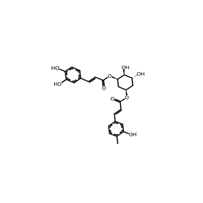 Cc1ccc(/C=C/C(=O)O[C@@H]2C[C@@H](O)[C@H](O)[C@H](OC(=O)/C=C/c3ccc(O)c(O)c3)C2)cc1O